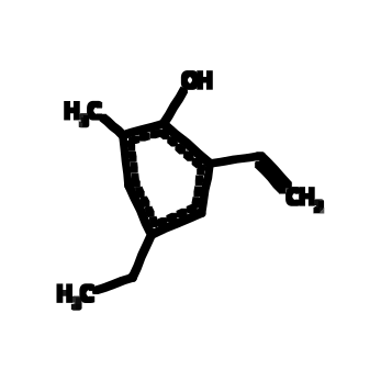 C=Cc1cc(CC)cc(C)c1O